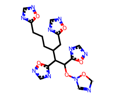 [C]1=N[CH]ON1OC(c1ncno1)C(c1ncno1)C(CCCc1ncno1)Cc1ncno1